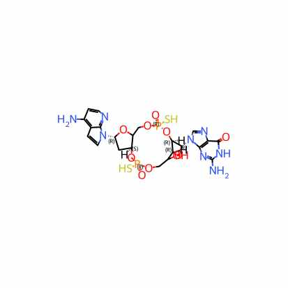 Nc1nc2c(ncn2[C@@H]2OC3CO[P@@](=O)(S)O[C@H]4C[C@H](n5ccc6c(N)ccnc65)OC4CO[P@@](=O)(S)O[C@@H]2[C@@H]3O)c(=O)[nH]1